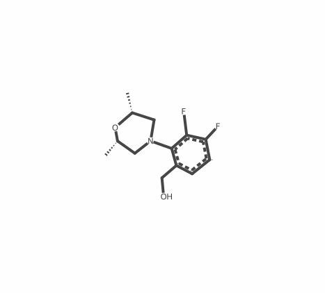 C[C@@H]1CN(c2c(CO)c[c]c(F)c2F)C[C@H](C)O1